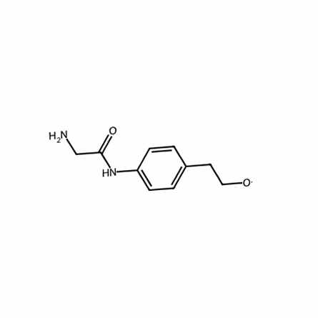 NCC(=O)Nc1ccc(CC[O])cc1